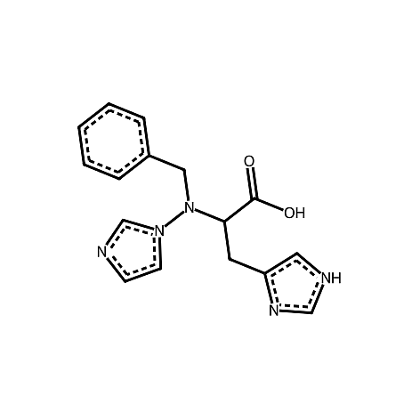 O=C(O)C(Cc1c[nH]cn1)N(Cc1ccccc1)n1ccnc1